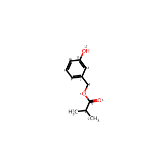 CC(C)C(=O)OCc1cccc(O)c1